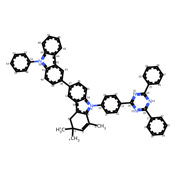 CC1=CC(C)(C)Cc2c1n(-c1ccc(-c3nc(-c4ccccc4)nc(-c4ccccc4)n3)cc1)c1ccc(-c3ccc4c(c3)c3ccccc3n4-c3ccccc3)cc21